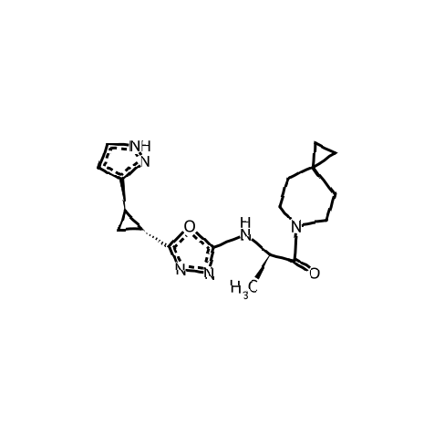 C[C@@H](Nc1nnc([C@@H]2C[C@H]2c2cc[nH]n2)o1)C(=O)N1CCC2(CC1)CC2